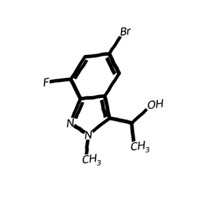 CC(O)c1c2cc(Br)cc(F)c2nn1C